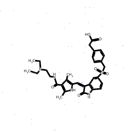 CCN(CC)CCNC(=O)c1c(C)[nH]c(/C=C2\C(=O)Nc3ccc(S(=O)(=O)Cc4ccc(CC(=O)O)cc4)cc32)c1C